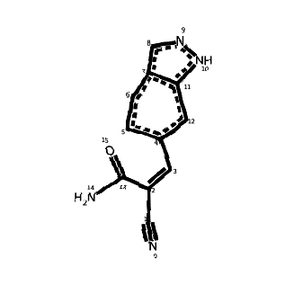 N#CC(=Cc1ccc2cn[nH]c2c1)C(N)=O